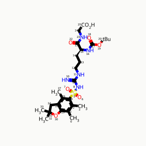 Cc1c(C)c(S(=O)(=O)NC(=N)NCCC[C@H](NC(=O)OC(C)(C)C)C(=O)NCC(=O)O)c(C)c2c1OC(C)(C)C2